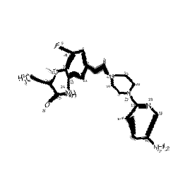 CC1Oc2c(F)cc(CN3CCN(c4ccc(N)cn4)CC3)cc2NC1=O